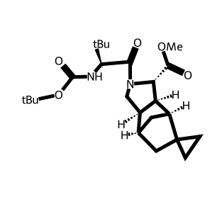 COC(=O)[C@@H]1[C@@H]2[C@H](CN1C(=O)[C@@H](NC(=O)OC(C)(C)C)C(C)(C)C)[C@H]1C[C@@H]2C2(CC2)C1